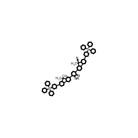 CC1(C)c2cc(-c3ccc(S(c4ccccc4)(c4ccccc4)c4ccccc4)cc3)ccc2-c2ccc(-c3ccc(-c4ccc5c(c4)C(C)(C#N)c4cc(-c6ccc(S(c7ccccc7)(c7ccccc7)c7ccccc7)cc6)ccc4-5)c4nsnc34)cc21